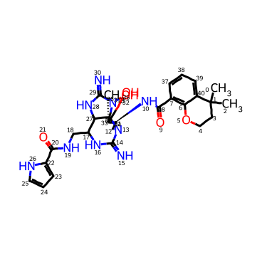 CC1(C)CCOc2c(C(=O)N[C@H]3CN4C(=N)NC(CNC(=O)c5ccc[nH]5)C5NC(=N)N(O)C54[C@@]3(C)O)cccc21